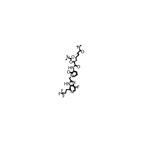 CN(C)C(=O)/C=C/CC[C@H](OC(=O)N(C)C)C(=O)Nc1cccn(Cc2nc3c(F)cnc(CCC(F)(F)F)c3[nH]2)c1=O